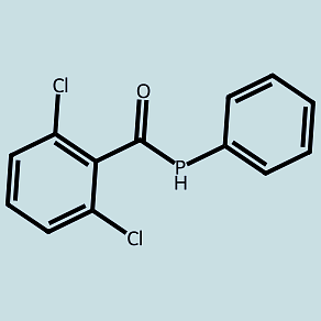 O=C(Pc1ccccc1)c1c(Cl)cccc1Cl